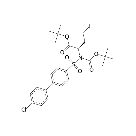 CC(C)(C)OC(=O)[C@@H](CCI)N(C(=O)OC(C)(C)C)S(=O)(=O)c1ccc(-c2ccc(Cl)cc2)cc1